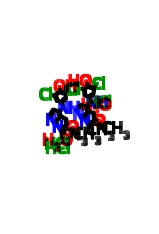 CCOc1cc2c(Nc3cc(Cl)c(O)c(Cl)c3)ccnc2nc1C.CCOc1cc2c(Nc3cc(Cl)c(O)c(Cl)c3)ccnc2nc1C.Cl.Cl.Cl.O.O